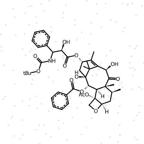 CC(=O)O[C@@]12CO[C@@H]1C[C@H](C)[C@@]1(C)C(=O)[C@H](O)C3=C(C)[C@@H](OC(=O)[C@H](O)C(NC(=O)OC(C)(C)C)c4ccccc4)C[C@@](O)([C@@H](OC(=O)c4ccccc4)[C@H]21)C3(C)C